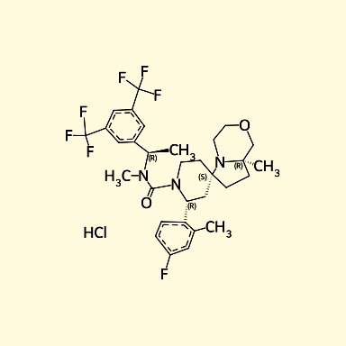 Cc1cc(F)ccc1[C@H]1C[C@@]2(CCN1C(=O)N(C)[C@H](C)c1cc(C(F)(F)F)cc(C(F)(F)F)c1)CC[C@]1(C)COCCN12.Cl